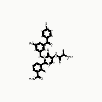 CNC(=O)c1cccc(-c2ncc(NC(=O)C(C)NC)c(=O)n2Cc2cc(C(=O)c3ccc(F)cc3)cc(C(C)C)c2)c1C